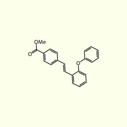 COC(=O)c1ccc(C=Cc2ccccc2Oc2ccccc2)cc1